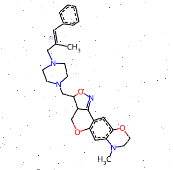 C/C(=C\c1ccccc1)CN1CCN(CC2ON=C3c4cc5c(cc4OCC32)N(C)CCO5)CC1